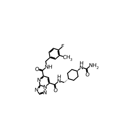 Cc1cc(CNC(=O)c2cc(C(=O)NC[C@H]3CC[C@H](NC(N)=O)CC3)n3ncnc3n2)ccc1F